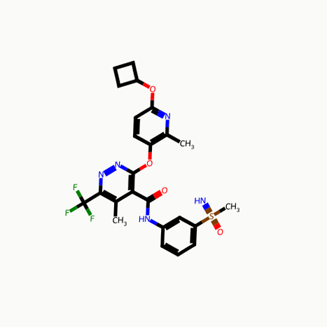 Cc1nc(OC2CCC2)ccc1Oc1nnc(C(F)(F)F)c(C)c1C(=O)Nc1cccc(S(C)(=N)=O)c1